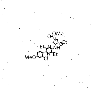 CCO[C@H]1CN(C(=O)OC)C[C@H]1Nc1nc(CC)c(-c2ccc(OC)cc2Cl)nc1CC